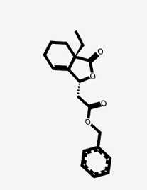 CC[C@]12CCCC=C1[C@@H](CC(=O)OCc1ccccc1)OC2=O